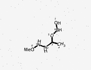 CONNC(C)OBO